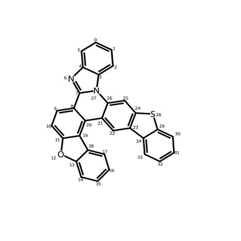 c1ccc2c(c1)nc1c3ccc4oc5ccccc5c4c3c3cc4c(cc3n21)sc1ccccc14